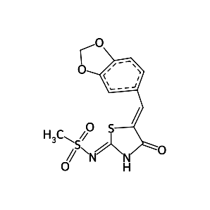 CS(=O)(=O)N=C1NC(=O)C(=Cc2ccc3c(c2)OCO3)S1